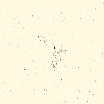 O=C1c2ccccc2C(=O)N1CCCC#Cc1cnc(Nc2ccnc(F)c2)nc1NC1CC1